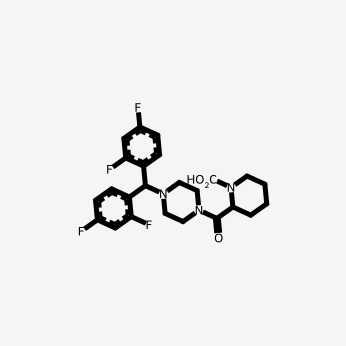 O=C(C1CCCCN1C(=O)O)N1CCN(C(c2ccc(F)cc2F)c2ccc(F)cc2F)CC1